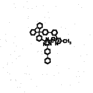 Cc1cnc(C)c(-c2cccc(-c3ccc(C4(c5cccc(-c6nc(C)nc(-c7ccc(-c8ccccc8)cc7)n6)c5)c5ccccc5-c5ccccc54)cc3)c2)c1